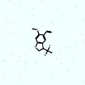 COc1cc2c(cc1C=O)C(C(F)(F)F)CO2